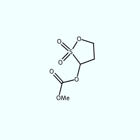 COC(=O)OC1CCOS1(=O)=O